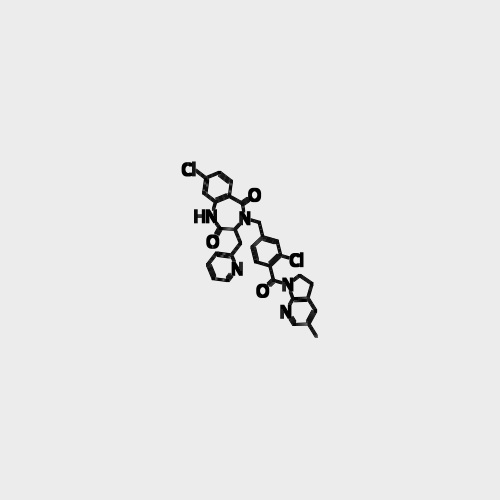 Cc1cnc2c(c1)CCN2C(=O)c1ccc(CN2C(=O)c3ccc(Cl)cc3NC(=O)C2Cc2ccccn2)cc1Cl